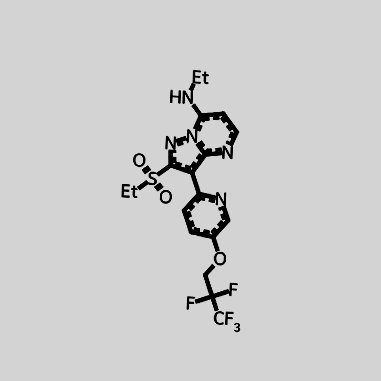 CCNc1ccnc2c(-c3ccc(OCC(F)(F)C(F)(F)F)cn3)c(S(=O)(=O)CC)nn12